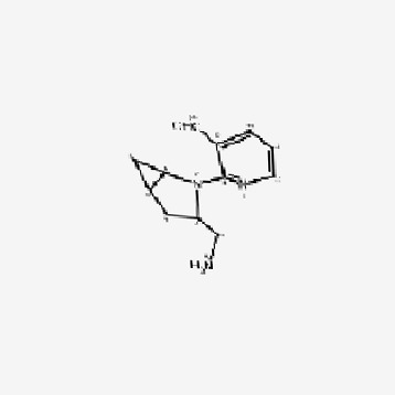 NCC1CC2CC2N1c1ncccc1C=O